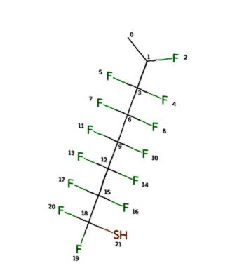 CC(F)C(F)(F)C(F)(F)C(F)(F)C(F)(F)C(F)(F)C(F)(F)S